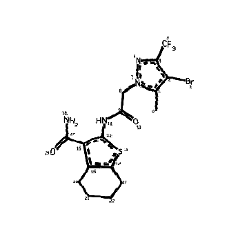 Cc1c(Br)c(C(F)(F)F)nn1CC(=O)Nc1sc2c(c1C(N)=O)CCCC2